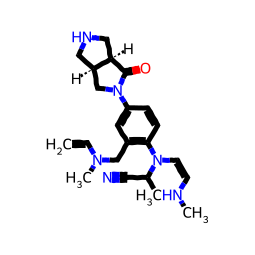 C=CN(C)Cc1cc(N2C[C@H]3CNC[C@H]3C2=O)ccc1N(/C=C\NC)C(C)C#N